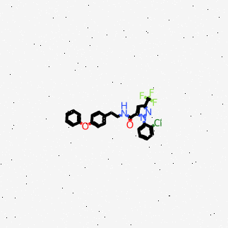 O=C(NCCc1ccc(Oc2ccccc2)cc1)c1cc(C(F)(F)F)nn1-c1ccccc1Cl